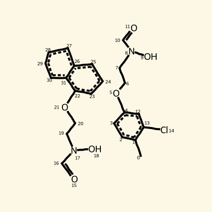 Cc1ccc(OCCN(O)C=O)cc1Cl.O=CN(O)CCOc1cccc2ccccc12